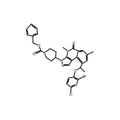 Cc1cc(C(C)Oc2ccc(Cl)nc2Br)c2c(c1)c(=O)n(C)c1c2cnn1C1CCN(C(=O)OCc2ccccc2)CC1